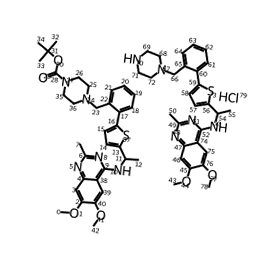 COc1cc2nc(C)nc(NC(C)c3ccc(-c4ccccc4CN4CCN(C(=O)OC(C)(C)C)CC4)s3)c2cc1OC.COc1cc2nc(C)nc(NC(C)c3ccc(-c4ccccc4CN4CCNCC4)s3)c2cc1OC.Cl